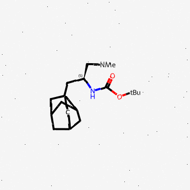 CNC[C@H](CC12CC3CC(CC1C3)C2)NC(=O)OC(C)(C)C